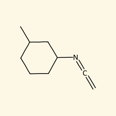 C=C=NC1CCCC(C)C1